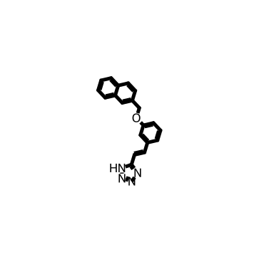 C(=Cc1nnn[nH]1)c1cccc(OCc2ccc3ccccc3c2)c1